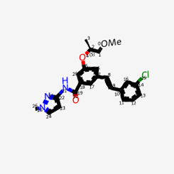 COC[C@H](C)Oc1cc(C=Cc2cccc(Cl)c2)cc(C(=O)Nc2ccn(C)n2)c1